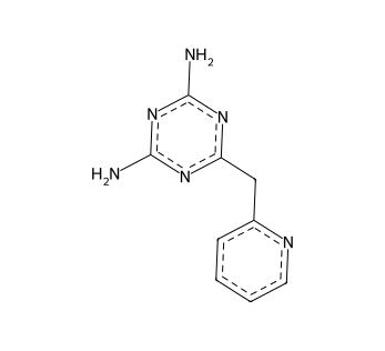 Nc1nc(N)nc(Cc2ccccn2)n1